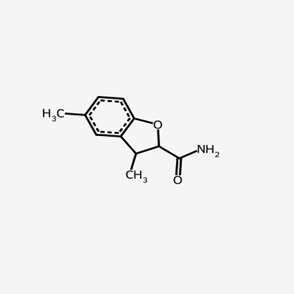 Cc1ccc2c(c1)C(C)C(C(N)=O)O2